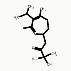 CC1=C(C(C)C)C(I)=NC(CC(=O)C(C)(C)O)CC1